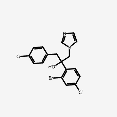 OC(Cc1ccc(Cl)cc1)(Cn1ccnc1)c1ccc(Cl)cc1Br